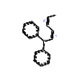 C/C=C\C=C/P(c1ccccc1)c1ccccc1